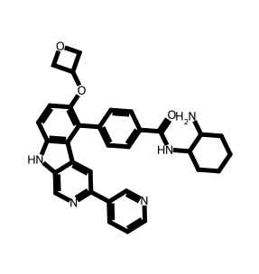 NC1CCCCC1NC(=O)c1ccc(-c2c(OC3COC3)ccc3[nH]c4cnc(-c5cccnc5)cc4c23)cc1